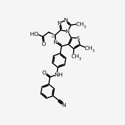 Cc1sc2c(c1C)C(c1ccc(NC(=O)c3cccc(C#N)c3)cc1)=N[C@@H](CC(=O)O)c1nnc(C)n1-2